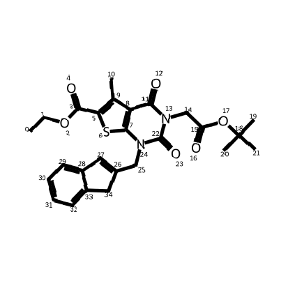 CCOC(=O)c1sc2c(c1C)c(=O)n(CC(=O)OC(C)(C)C)c(=O)n2CC1=Cc2ccccc2C1